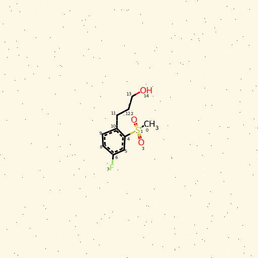 CS(=O)(=O)c1cc(F)ccc1CCCO